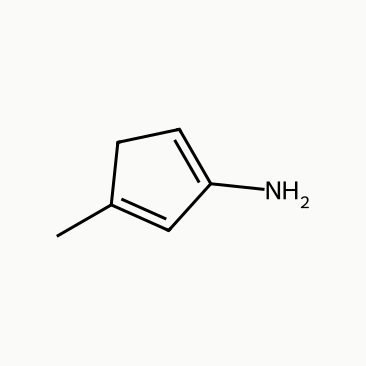 CC1=CC(N)=CC1